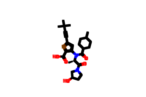 CC1CCC(C(=O)N(c2cc(C#CC(C)(C)C)sc2C(=O)O)[C@@H](C)C(=O)N2CC[C@@H](O)C2)CC1